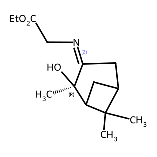 CCOC(=O)C/N=C1/CC2CC(C2(C)C)[C@@]1(C)O